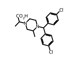 CC(C(=O)O)N1CCN(C(c2ccc(Cl)cc2)c2ccc(Cl)cc2)C(C)C1